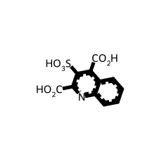 O=C(O)c1nc2ccccc2c(C(=O)O)c1S(=O)(=O)O